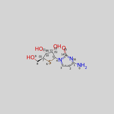 Nc1ccn(C2S[C@@H](CO)[C@H](O)[C@@H]2O)c(=O)n1